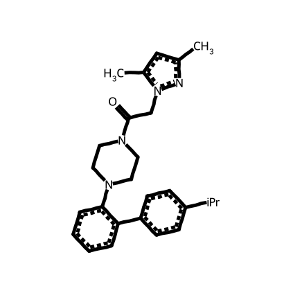 Cc1cc(C)n(CC(=O)N2CCN(c3ccccc3-c3ccc(C(C)C)cc3)CC2)n1